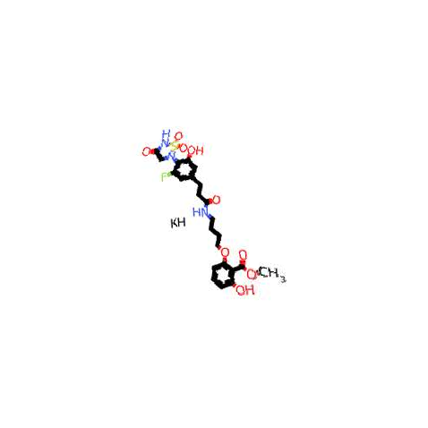 COC(=O)c1c(O)cccc1OCCCCNC(=O)CCc1cc(O)c(N2CC(=O)NS2(=O)=O)c(F)c1.[KH]